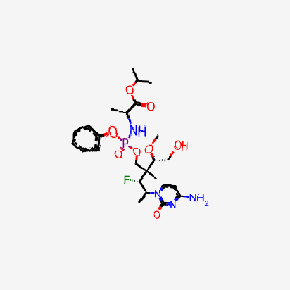 CO[C@H](CO)C(C)(COP(=O)(N[C@@H](C)C(=O)OC(C)C)Oc1ccccc1)[C@@H](F)C(C)n1ccc(N)nc1=O